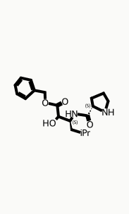 CC(C)C[C@H](NC(=O)[C@@H]1CCCN1)C(O)C(=O)OCc1ccccc1